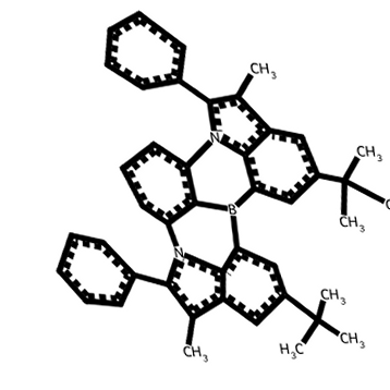 Cc1c(-c2ccccc2)n2c3c(cc(C(C)(C)C)cc13)B1c3c-2cccc3-n2c(-c3ccccc3)c(C)c3cc(C(C)(C)C)cc1c32